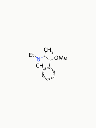 CCN(C)C(C)C(OC)c1ccccc1